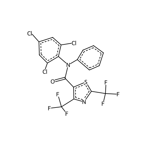 O=C(c1sc(C(F)(F)F)nc1C(F)(F)F)N(c1ccccc1)c1c(Cl)cc(Cl)cc1Cl